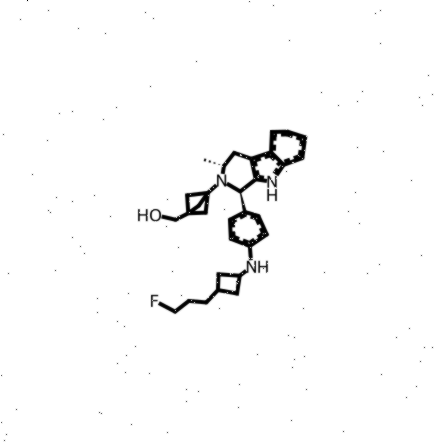 C[C@@H]1Cc2c([nH]c3ccccc23)[C@@H](c2ccc(NC3CC(CCCF)C3)cc2)N1C12CC(CO)(C1)C2